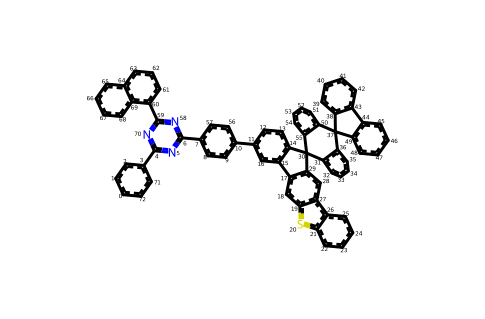 c1ccc(-c2nc(-c3ccc(-c4ccc5c(c4)-c4cc6sc7ccccc7c6cc4C54c5ccccc5C5(c6ccccc6-c6ccccc65)c5ccccc54)cc3)nc(-c3cccc4ccccc34)n2)cc1